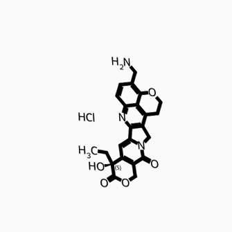 CC[C@@]1(O)C(=O)OCc2c1cc1n(c2=O)Cc2c-1nc1ccc(CN)c3c1c2CCO3.Cl